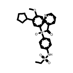 CCS(=O)(=O)Nc1ccc([N+]([O-])(C(=O)c2cccnc2)c2ccc(OC)c(C3CCCC3)c2)cc1